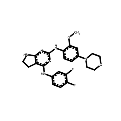 COc1cc(N2CCOCC2)ccc1Nc1nc2c(c(Nc3ccc(F)c(F)c3)n1)CCN2